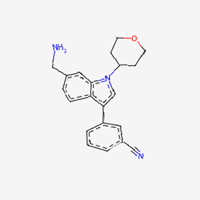 N#Cc1cccc(-c2cn(C3CCOCC3)c3cc(CN)ccc23)c1